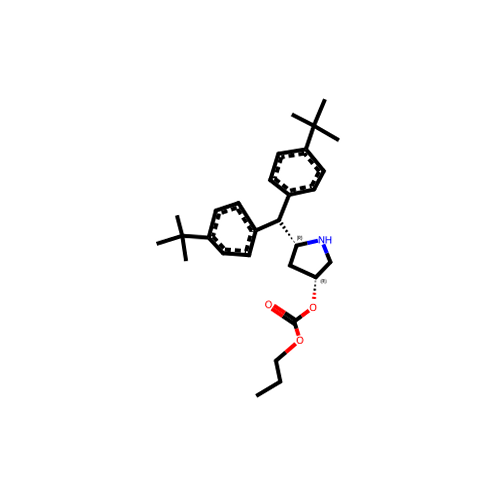 CCCOC(=O)O[C@H]1CN[C@@H](C(c2ccc(C(C)(C)C)cc2)c2ccc(C(C)(C)C)cc2)C1